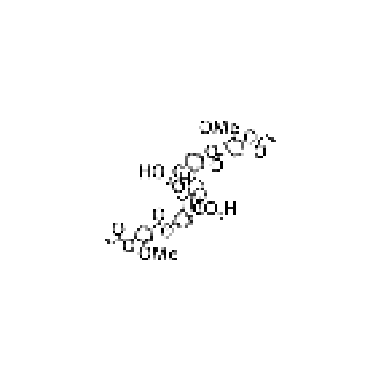 C=CC(=O)Oc1ccc(C(=O)Oc2ccc(C(=O)O)c([C@@H]3CO[C@@H]4[C@H]3OC[C@H]4c3cc(OC(=O)c4ccc(OC(=O)C=C)c(OC)c4)ccc3C(=O)O)c2)cc1OC